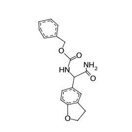 NC(=O)C(NC(=O)OCc1ccccc1)c1ccc2c(c1)CCO2